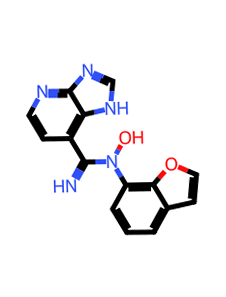 N=C(c1ccnc2nc[nH]c12)N(O)c1cccc2ccoc12